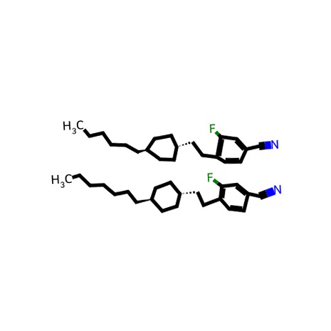 CCCCCCC[C@H]1CC[C@H](CCc2ccc(C#N)cc2F)CC1.CCCCCC[C@H]1CC[C@H](CCc2ccc(C#N)cc2F)CC1